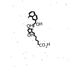 Cc1cccc2ccc(C(O)CC[C@@H]3C(CCCCCCC(=O)O)[C@@H](O)C[C@H]3O)cc12